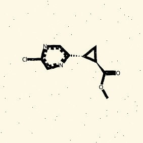 COC(=O)[C@@H]1C[C@H]1c1cnc(Cl)cn1